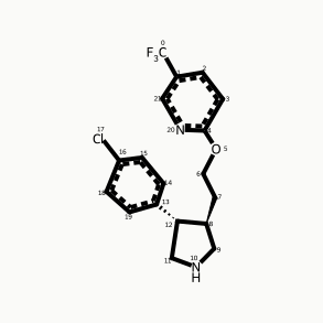 FC(F)(F)c1ccc(OCC[C@H]2CNC[C@@H]2c2ccc(Cl)cc2)nc1